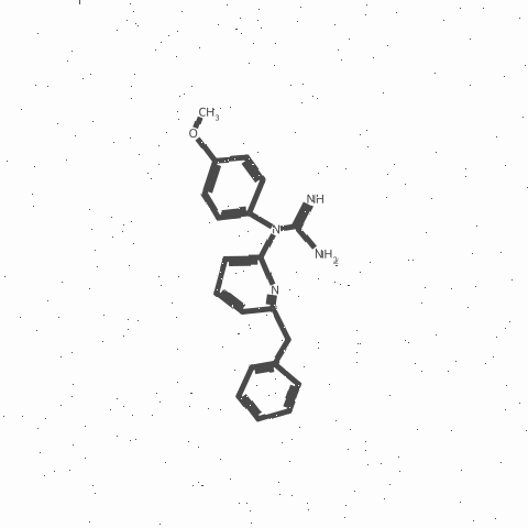 COc1ccc(N(C(=N)N)c2cccc(Cc3ccccc3)n2)cc1